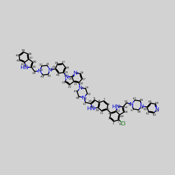 Clc1ccc(-c2ccc3cc(CN4CCN(c5ccnc6c5ccn6-c5cccc(N6CCN(Cc7cc8ccccc8[nH]7)CC6)c5)CC4)[nH]c3c2)c2[nH]c(CN3CCN(c4ccncc4)CC3)cc12